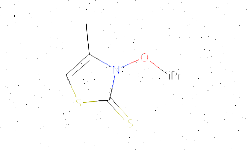 Cc1csc(=S)n1OC(C)C